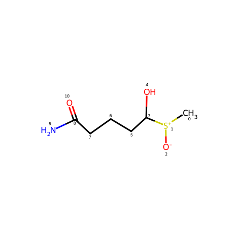 C[S+]([O-])C(O)CCCC(N)=O